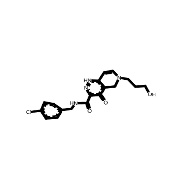 O=C(NCc1ccc(Cl)cc1)c1n[nH]c2c(c1=O)CN(CCCO)C=C2